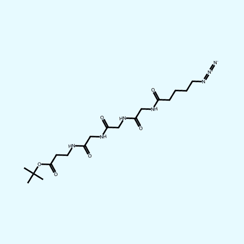 CC(C)(C)OC(=O)CCNC(=O)CNC(=O)CNC(=O)CNC(=O)CCCCN=[N+]=[N-]